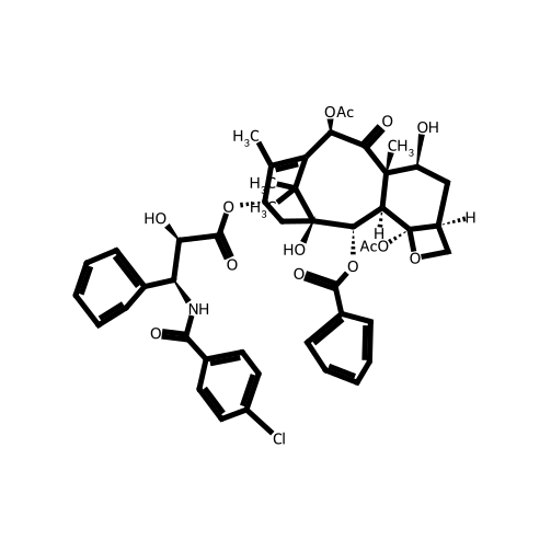 CC(=O)O[C@H]1C(=O)[C@@]2(C)[C@H]([C@H](OC(=O)c3ccccc3)[C@]3(O)C[C@H](OC(=O)[C@H](O)[C@@H](NC(=O)c4ccc(Cl)cc4)c4ccccc4)C(C)=C1C3(C)C)[C@]1(OC(C)=O)OC[C@@H]1C[C@@H]2O